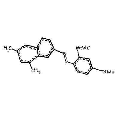 CNc1ccc(N=Nc2ccc3cc(C)cc(C)c3c2)c(NC(C)=O)c1